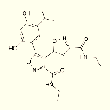 CCNC(=O)C1=NOC(c2c(C(=O)NCC)noc2-c2cc(C(C)C)c(O)cc2O)C1